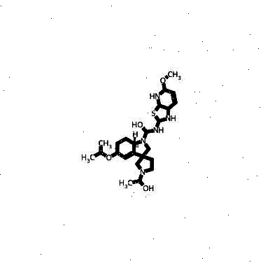 COC1C=CC2NC(NC(O)N3CC4(CCN(C(C)O)C4)C4=CC(OC(C)C)CC[C@@H]43)SC2N1